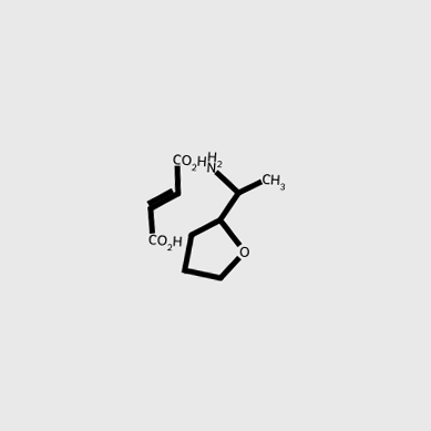 CC(N)C1CCCO1.O=C(O)C=CC(=O)O